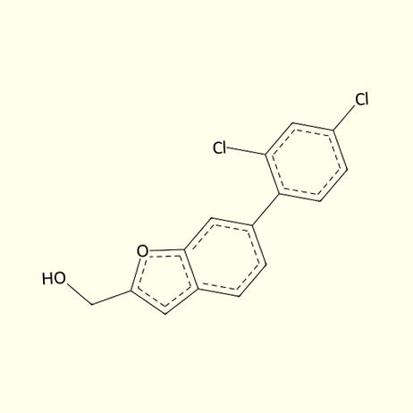 OCc1cc2ccc(-c3ccc(Cl)cc3Cl)cc2o1